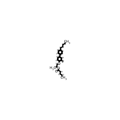 CCCCCc1ccc(-c2ccc(OCC(C)OC(=O)CCCC)c(F)c2)cc1